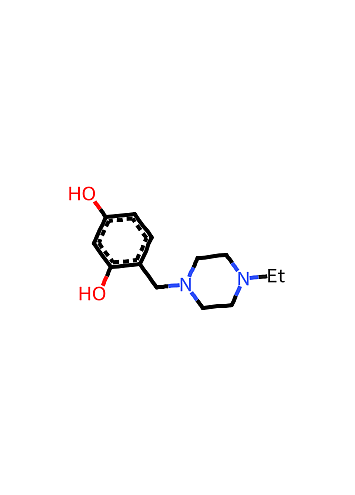 CCN1CCN(Cc2ccc(O)cc2O)CC1